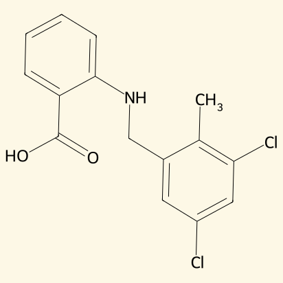 Cc1c(Cl)cc(Cl)cc1CNc1ccccc1C(=O)O